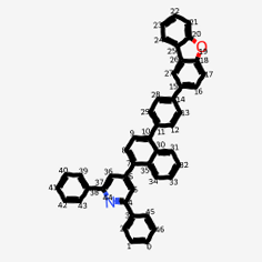 c1ccc(-c2cc(-c3ccc(-c4ccc(-c5ccc6oc7ccccc7c6c5)cc4)c4ccccc34)cc(-c3ccccc3)n2)cc1